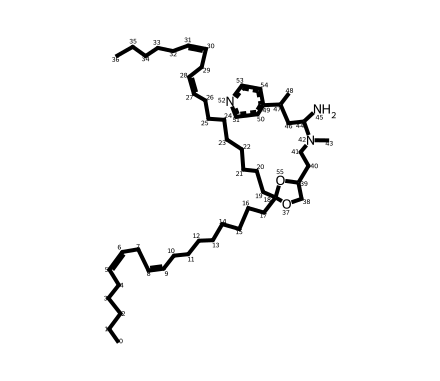 CCCCC/C=C\C/C=C\CCCCCCCCC1(CCCCCCCC/C=C\C/C=C\CCCCC)OCC(CCN(C)C(N)CC(C)c2ccncc2)O1